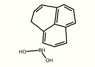 C1=Cc2cccc3cccc(c23)C1.OBO